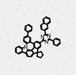 c1ccc(-c2ccc3c(c2)-c2cc(-c4nc(-c5ccccc5)nc(-c5ccc6ccccc6c5)n4)cc4c2-c2c(ccc5c6ccccc6n-3c25)C42CCCC2)cc1